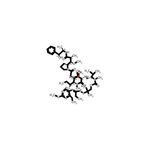 CC/C(=N\c1cnc(OC)nc1CC)SSC(C)(C)COC(=O)N(C)[C@H](CN[C@H](C(=O)N(C)[C@@H]([C@@H](C)CC)[C@@H](CC(=O)N1CCC[C@H]1[C@H](OC)[C@@H](C)C(=O)N[C@H](C)[C@@H](O)c1ccccc1)OC)C(C)C)C(C)C